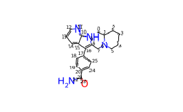 CC1CCCCN1Cc1[nH]c2ncccc2c1-c1ccc(C(N)=O)cc1